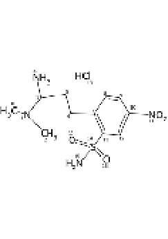 CN(C)C(N)CCc1ccc([N+](=O)[O-])cc1S(N)(=O)=O.Cl